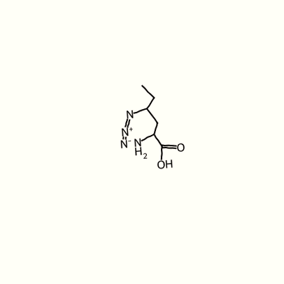 CCC(CC(N)C(=O)O)N=[N+]=[N-]